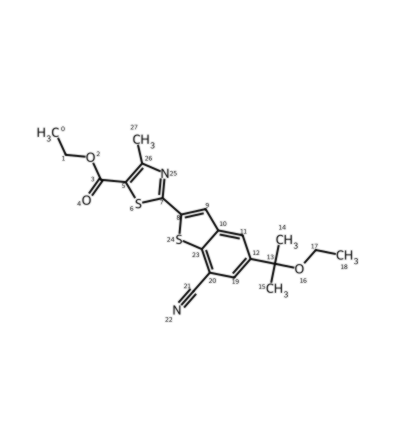 CCOC(=O)c1sc(-c2cc3cc(C(C)(C)OCC)cc(C#N)c3s2)nc1C